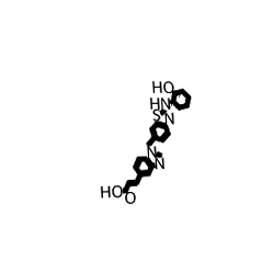 O=C(O)C=Cc1ccc2c(c1)ncn2Cc1ccc2nc(N[C@@H]3CCCC[C@H]3O)sc2c1